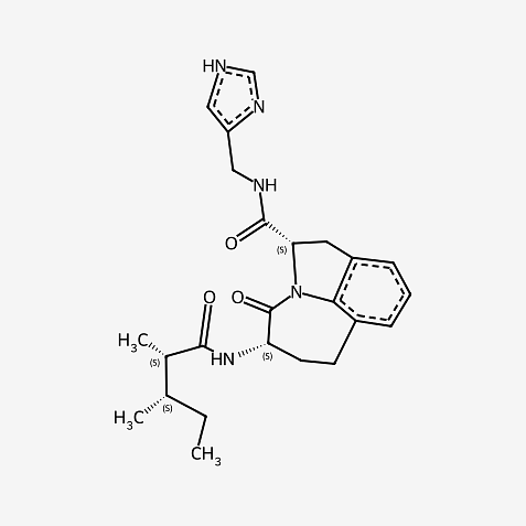 CC[C@H](C)[C@H](C)C(=O)N[C@H]1CCc2cccc3c2N(C1=O)[C@H](C(=O)NCc1c[nH]cn1)C3